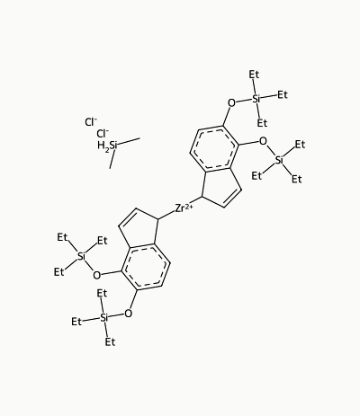 CC[Si](CC)(CC)Oc1ccc2c(c1O[Si](CC)(CC)CC)C=C[CH]2[Zr+2][CH]1C=Cc2c1ccc(O[Si](CC)(CC)CC)c2O[Si](CC)(CC)CC.C[SiH2]C.[Cl-].[Cl-]